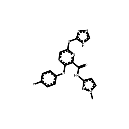 Cn1ccc(NC(=O)c2nc(Sc3nnc[nH]3)cnc2Oc2ccc(F)cc2)n1